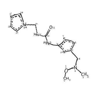 CON(C)Cc1csc(NC(=O)NCn2ccnc2)n1